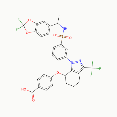 CC(NS(=O)(=O)c1cccc(-n2nc(C(F)(F)F)c3c2C(Oc2ccc(C(=O)O)cc2)CCC3)c1)c1ccc2c(c1)OC(F)(F)O2